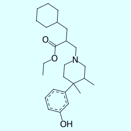 CCOC(=O)C(CC1CCCCC1)CN1CCC(C)(c2cccc(O)c2)C(C)C1